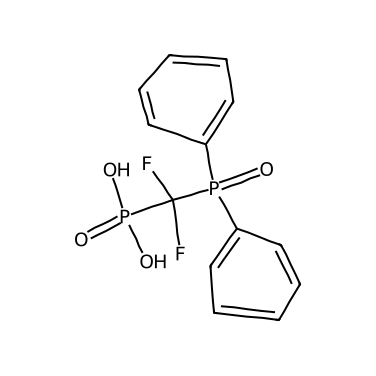 O=P(O)(O)C(F)(F)P(=O)(c1ccccc1)c1ccccc1